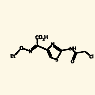 CCON=C(C(=O)O)c1csc(NC(=O)CCl)n1